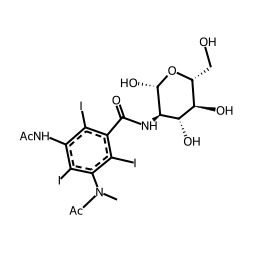 CC(=O)Nc1c(I)c(C(=O)N[C@@H]2[C@@H](O)[C@H](O)[C@@H](CO)O[C@H]2O)c(I)c(N(C)C(C)=O)c1I